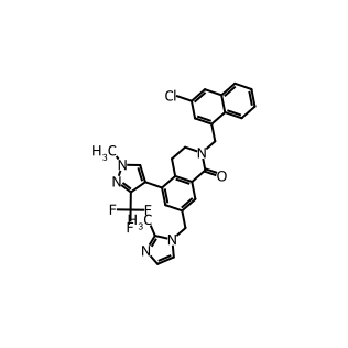 Cc1nccn1Cc1cc2c(c(-c3cn(C)nc3C(F)(F)F)c1)CCN(Cc1cc(Cl)cc3ccccc13)C2=O